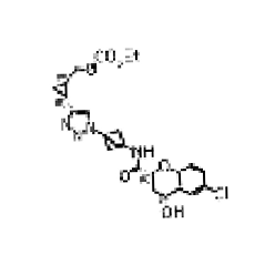 CCOC(=O)OC[C@@H]1C[C@H]1c1cn(C23CC(NC(=O)[C@H]4C[C@@H](O)c5cc(Cl)ccc5O4)(C2)C3)nn1